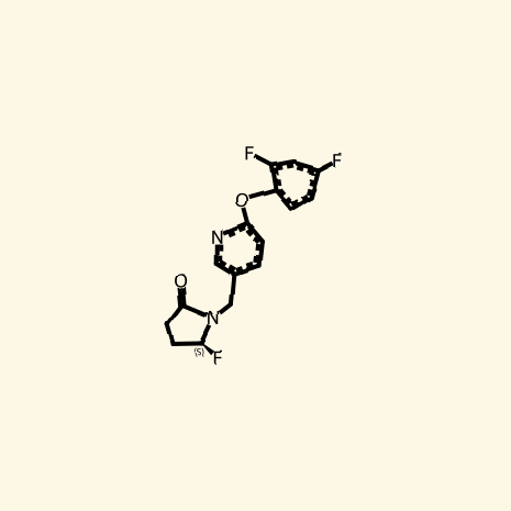 O=C1CC[C@H](F)N1Cc1ccc(Oc2ccc(F)cc2F)nc1